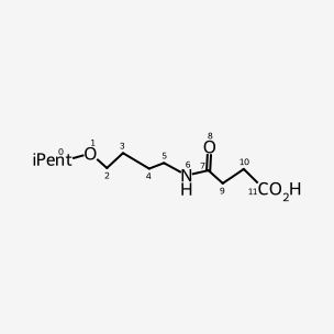 CCCC(C)OCCCCNC(=O)CCC(=O)O